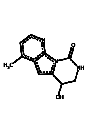 Cc1ccnc2c1cc1n2C(=O)NCC1O